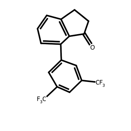 O=C1CCc2cccc(-c3cc(C(F)(F)F)cc(C(F)(F)F)c3)c21